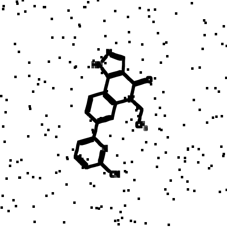 N#Cc1cccc(-c2ccc3c4[nH]ncc4c(=O)n(CC(F)(F)F)c3c2)n1